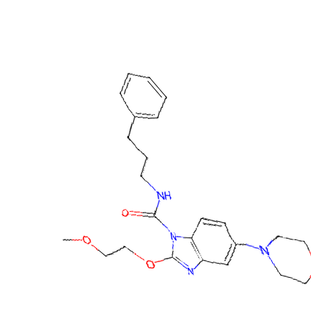 COCCOc1nc2cc(N3CCOCC3)ccc2n1C(=O)NCCCc1ccccc1